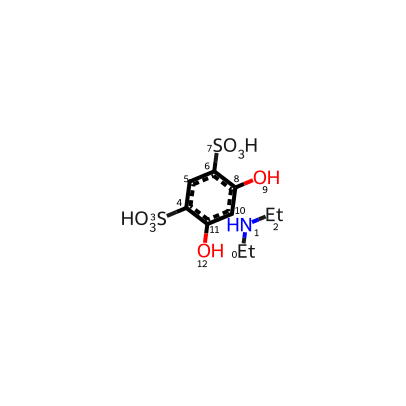 CCNCC.O=S(=O)(O)c1cc(S(=O)(=O)O)c(O)cc1O